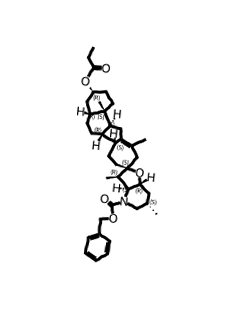 CCC(=O)O[C@@H]1CC[C@@]2(C)[C@H](CC[C@H]3[C@@H]4CC[C@@]5(CC(C)=C4C[C@@H]32)O[C@@H]2C[C@H](C)CN(C(=O)OCc3ccccc3)[C@H]2[C@H]5C)C1